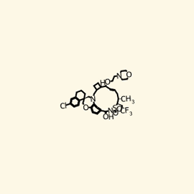 C[C@H]1C/C=C/[C@H](OCCN2CCOCC2)[C@H]2CCC2CN2C[C@@]3(CCCc4cc(Cl)ccc43)COc3ccc(cc32)C(=O)NS(=O)(=O)[C@@H]1CC(F)(F)F